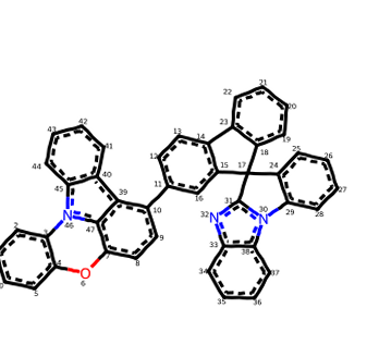 c1ccc2c(c1)Oc1ccc(-c3ccc4c(c3)C3(c5ccccc5-4)c4ccccc4-n4c3nc3ccccc34)c3c4ccccc4n-2c13